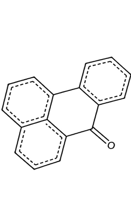 O=C1c2ccccc2-c2cccc3cccc1c23